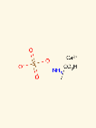 CC(=O)O.N.O=S(=O)([O-])[O-].[Ca+2]